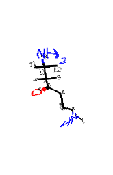 CNCCCC(=O)C(C)(C)C(C)(C)N